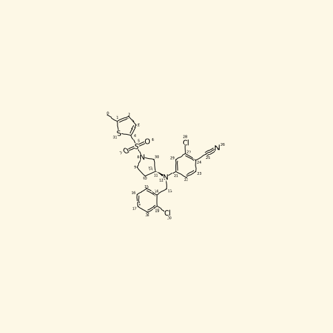 Cc1ccc(S(=O)(=O)N2CC[C@H](N(Cc3ccccc3Cl)c3ccc(C#N)c(Cl)c3)C2)s1